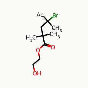 CC(=O)C(C)(Br)CC(C)(C)C(=O)OCCO